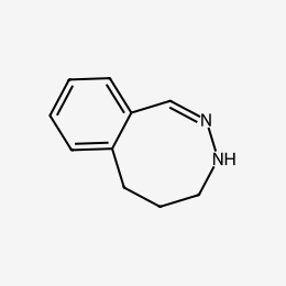 C1=N\NCCCc2ccccc2/1